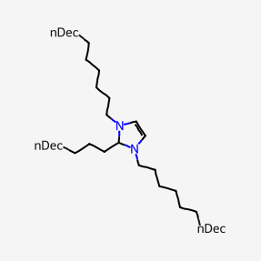 CCCCCCCCCCCCCCCCN1C=CN(CCCCCCCCCCCCCCCC)C1CCCCCCCCCCCCC